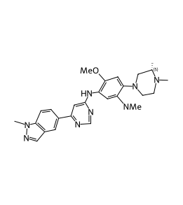 CNc1cc(Nc2cc(-c3ccc4c(cnn4C)c3)ncn2)c(OC)cc1N1CCN(C)[C@@H](C)C1